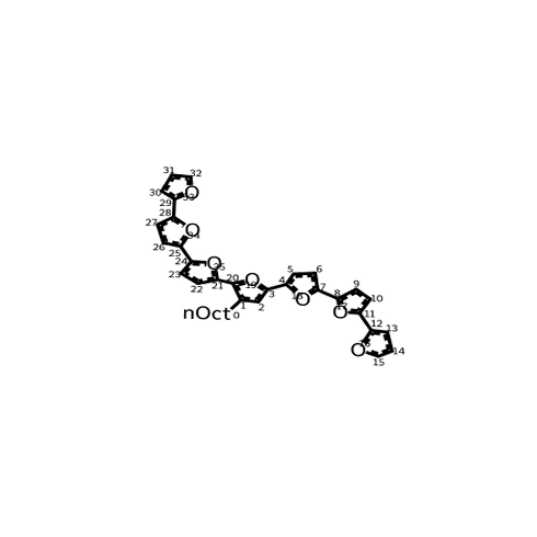 CCCCCCCCc1cc(-c2ccc(-c3ccc(-c4ccco4)o3)o2)oc1-c1ccc(-c2ccc(-c3ccco3)o2)o1